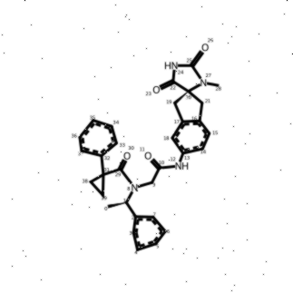 C[C@H](c1ccccc1)N(CC(=O)Nc1ccc2c(c1)C[C@@]1(C2)C(=O)NC(=O)N1C)C(=O)C1(c2ccccc2)CC1